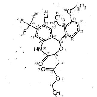 CCOC(=O)C[C@H]1O[C@H](c2cccc(OC)c2OC)c2cc(Cl)c(C(F)(F)F)cc2NC1=O